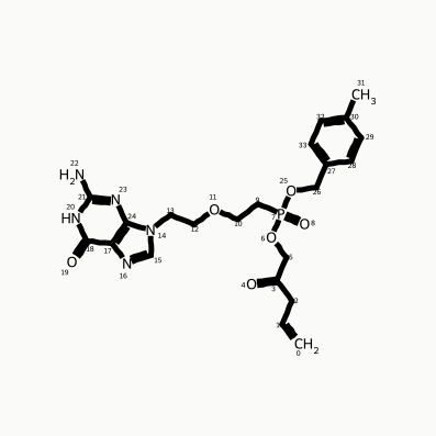 C=CCC(=O)COP(=O)(CCOCCn1cnc2c(=O)[nH]c(N)nc21)OCc1ccc(C)cc1